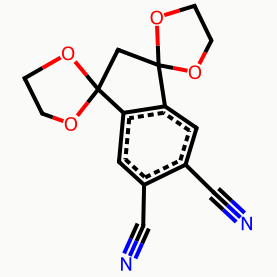 N#Cc1cc2c(cc1C#N)C1(CC23OCCO3)OCCO1